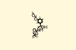 COCOc1cccc(C(O)CNC(=O)OC(C)(C)C)c1